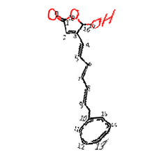 O=C1C=C(C=CC=CC=Cc2ccccc2)C(O)O1